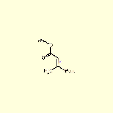 CCCOC(=O)/C=C(\C)C(C)CCC